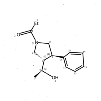 CCC(=O)N1C[C@@H]([C@H](C)O)[C@H](c2ccccc2)C1